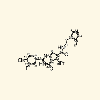 CC(C)c1c(C(=O)NCCc2cncn2C)cn2nc(-c3ccc(Cl)c(F)c3)[nH]c(=O)c12